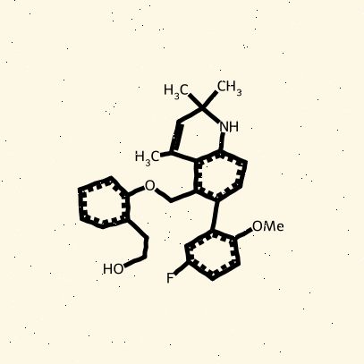 COc1ccc(F)cc1-c1ccc2c(c1COc1ccccc1CCO)C(C)=CC(C)(C)N2